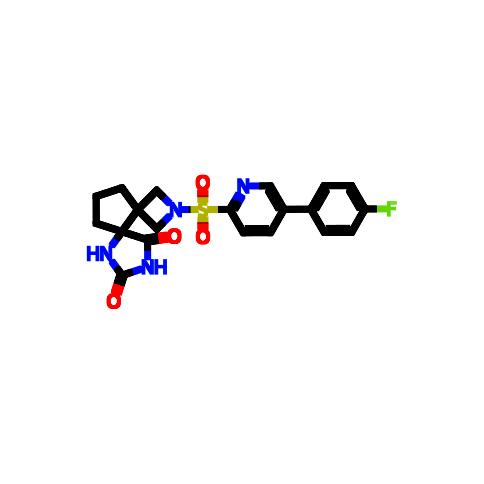 O=C1NC(=O)C2(CCCC23CN(S(=O)(=O)c2ccc(-c4ccc(F)cc4)cn2)C3)N1